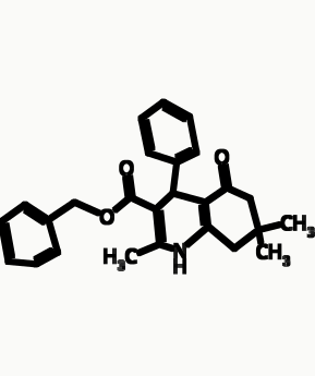 CC1=C(C(=O)OCc2ccccc2)C(c2ccccc2)C2=C(CC(C)(C)CC2=O)N1